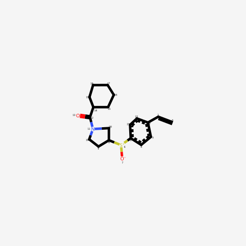 C=Cc1ccc([S+]([O-])C2CCN(C(=O)C3CCCCC3)C2)cc1